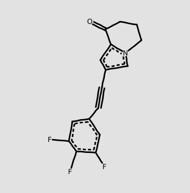 O=C1CCCn2cc(C#Cc3cc(F)c(F)c(F)c3)cc21